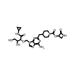 Nc1nc(CC2CCN(C(=O)OC3CNC3=O)CC2)nc2c1ncn2CO[C@H](C(=O)NC1CC1)C(O)CO